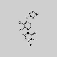 Cc1c(O)nc(C)n(-c2ccc(Oc3cc[nH]n3)c(Cl)c2Cl)c1=O